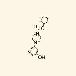 O=C(OC1CCCC1)N1CCN(c2cncc(O)c2)CC1